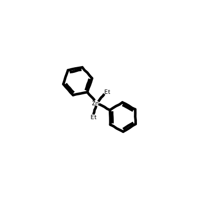 C[CH2][Zn]([CH2]C)([c]1ccccc1)[c]1ccccc1